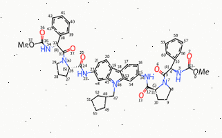 COC(=O)N[C@@H](C(=O)N1CCC[C@H]1C(=O)Nc1ccc2c3ccc(NC(=O)[C@@H]4CCCN4C(=O)[C@H](NC(=O)OC)c4ccccc4)cc3n(CC3CCCC3)c2c1)c1ccccc1